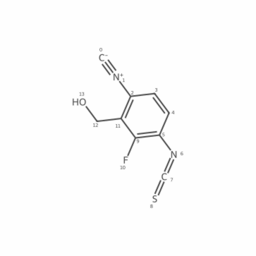 [C-]#[N+]c1ccc(N=C=S)c(F)c1CO